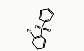 CCC1=C(S(=O)(=O)c2ccccc2)C=CCC1